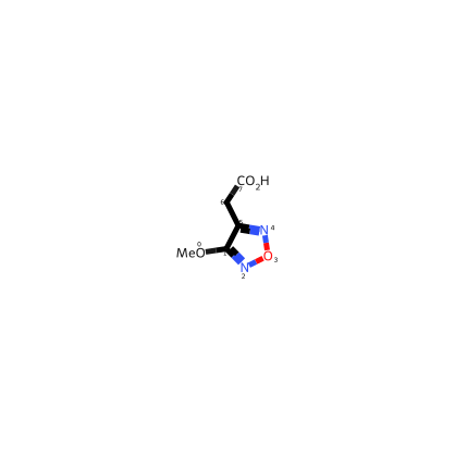 COc1nonc1CC(=O)O